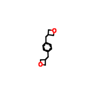 c1cc(CC2COC2)ccc1CC1COC1